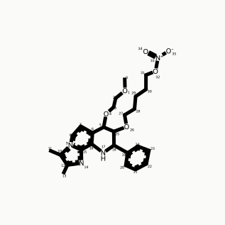 COCCOC1c2ccn3c(C)c(C)nc3c2NC(c2ccccc2)C1OCCCCCO[N+](=O)[O-]